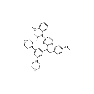 COc1ccc(CN(c2cc(N3CCOCC3)cc(N3CCOCC3)c2)c2nccc(N(c3ccccc3OC)C(C)C)n2)cc1